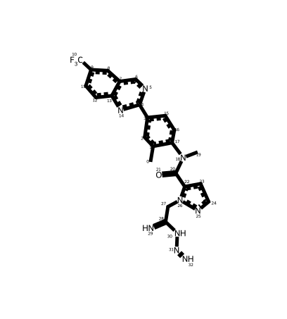 Cc1cc(-c2ncc3cc(C(F)(F)F)ccc3n2)ccc1N(C)C(=O)c1ccnn1CC(=N)NN=N